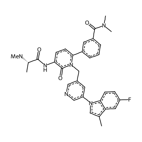 CN[C@@H](C)C(=O)Nc1ccc(-c2cccc(C(=O)N(C)C)c2)n(Cc2cncc(-n3cc(C)c4cc(F)ccc43)c2)c1=O